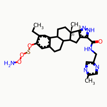 CCc1cc2c(cc1OSOON)CCC1C2CC[C@]2(C)c3n[nH]c(C(=O)NCc4cnc(C)cn4)c3CC12